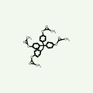 CC1OC1Oc1ccc(CC(c2ccc(OC3OC3C)cc2)(c2ccc(OC3OC3C)cc2)c2ccc(OC3OC3C)cc2)cc1